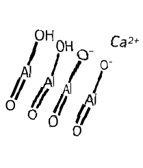 [Ca+2].[O]=[Al][O-].[O]=[Al][O-].[O]=[Al][OH].[O]=[Al][OH]